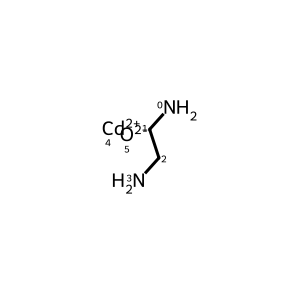 NCCN.[Cd+2].[O-2]